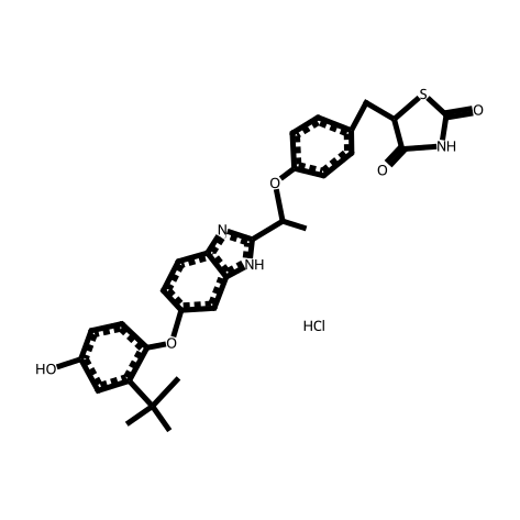 CC(Oc1ccc(CC2SC(=O)NC2=O)cc1)c1nc2ccc(Oc3ccc(O)cc3C(C)(C)C)cc2[nH]1.Cl